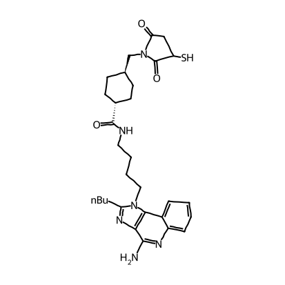 CCCCc1nc2c(N)nc3ccccc3c2n1CCCCNC(=O)[C@H]1CC[C@H](CN2C(=O)CC(S)C2=O)CC1